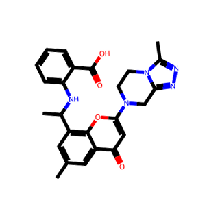 Cc1cc(C(C)Nc2ccccc2C(=O)O)c2oc(N3CCn4c(C)nnc4C3)cc(=O)c2c1